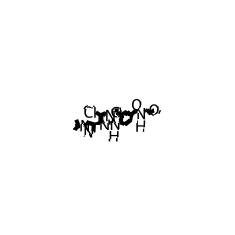 COCCNC(=O)c1ccc(Nc2ncc(Cl)c(-c3cnn(C(C)C)c3)n2)c(OC)c1